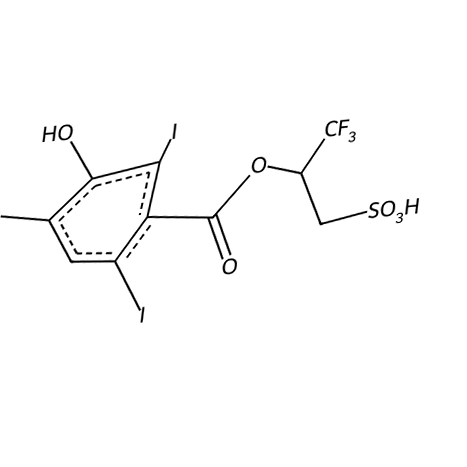 O=C(OC(CS(=O)(=O)O)C(F)(F)F)c1c(I)cc(I)c(O)c1I